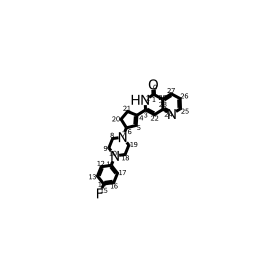 O=c1[nH]c(C2=CC(N3CCN(c4ccc(F)cc4)CC3)CC2)cc2ncccc12